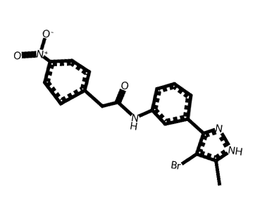 Cc1[nH]nc(-c2cccc(NC(=O)Cc3ccc([N+](=O)[O-])cc3)c2)c1Br